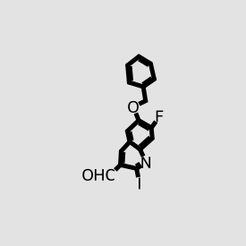 O=Cc1cc2cc(OCc3ccccc3)c(F)cc2nc1I